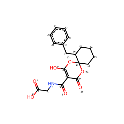 O=C(O)CNC(=O)C1=C(O)OC2(CCCCC2Cc2ccccc2)OC1=O